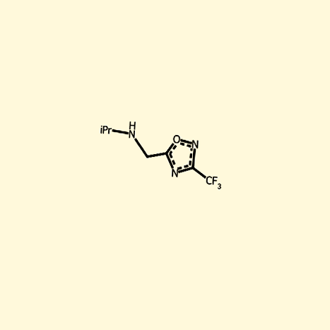 CC(C)NCc1nc(C(F)(F)F)no1